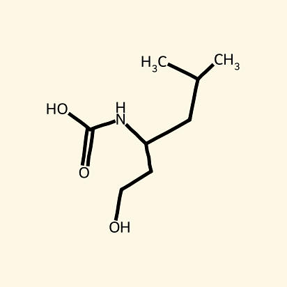 CC(C)CC(CCO)NC(=O)O